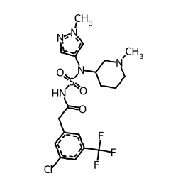 CN1CCCC(N(c2cnn(C)c2)S(=O)(=O)NC(=O)Cc2cc(Cl)cc(C(F)(F)F)c2)C1